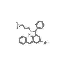 CCCC1C/C(=C/c2ccccc2)C2=NN(CCCN(C)C)C(c3ccccc3)C2C1